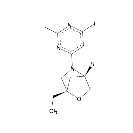 Cc1nc(I)cc(N2C[C@]3(CO)C[C@H]2CO3)n1